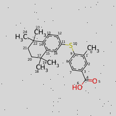 Cc1cc(C(=O)O)ccc1Sc1ccc2c(c1)C(C)(C)CCC2(C)C